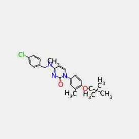 Cc1cc(-n2ccc(N(C)Cc3ccc(Cl)cc3)nc2=O)ccc1OCC(C)(C)C